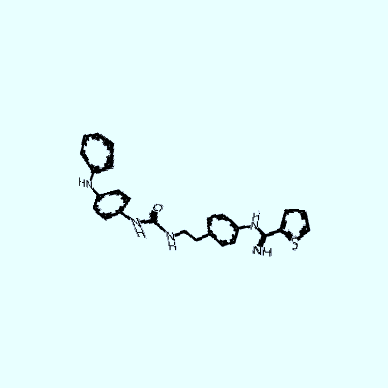 N=C(Nc1ccc(CCNC(=O)Nc2ccc(Nc3ccccc3)cc2)cc1)c1cccs1